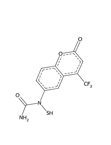 NC(=O)N(S)c1ccc2oc(=O)cc(C(F)(F)F)c2c1